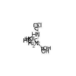 Cl.Cl.NC(CCCCB(O)O)(CCCNCc1ccc(Cl)c(Cl)c1)C(=O)O